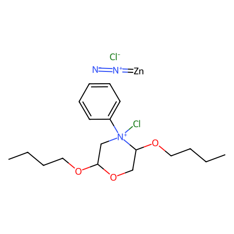 CCCCOC1C[N+](Cl)(c2ccccc2)C(OCCCC)CO1.[Cl-].[N-]=[N+]=[Zn]